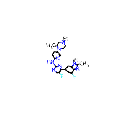 CCN1CCN(c2ccc(Nc3ncc(F)c(-c4cc(F)c5nc(C)n(C(C)C)c5c4)n3)nc2)[C@H](C)C1